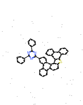 c1ccc(-c2nc(-c3ccccc3)nc(-c3ccc4c(c3)c3ccccc3c3ccc5sc6c7ccccc7c7ccccc7c6c5c34)n2)cc1